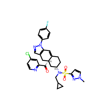 Cn1ccc(S(=O)(=O)N(CC2CC2)[C@H]2CCC3=Cc4c(cnn4-c4ccc(F)cc4)C[C@]3(C(=O)c3cc(Cl)ccn3)C2)n1